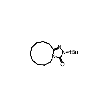 CC(C)(C)n1nc2n(c1=O)CCCCCCCCC2